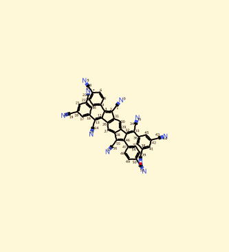 N#CC1=C(c2ccc(C#N)cc2)/C(=C(/C#N)c2cc(C#N)cc(C#N)c2)c2cc3c(cc21)/C(=C(\C#N)c1cc(C#N)cc(C#N)c1)C(c1ccc(C#N)cc1)=C3C#N